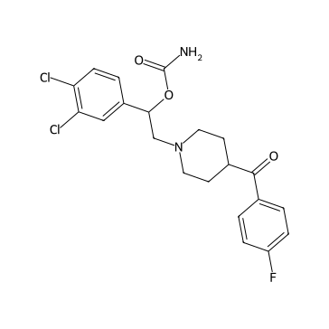 NC(=O)OC(CN1CCC(C(=O)c2ccc(F)cc2)CC1)c1ccc(Cl)c(Cl)c1